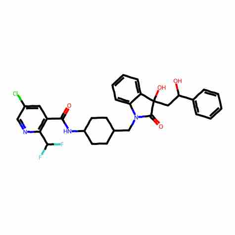 O=C(NC1CCC(CN2C(=O)C(O)(CC(O)c3ccccc3)c3ccccc32)CC1)c1cc(Cl)cnc1C(F)F